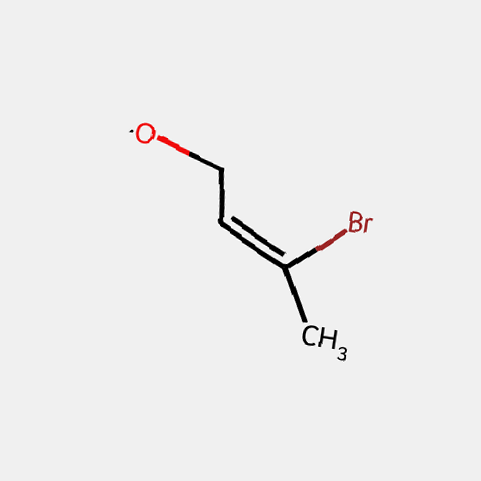 C/C(Br)=C/C[O]